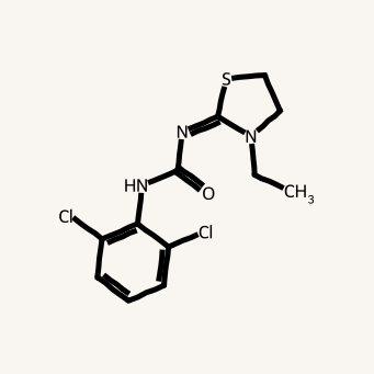 CCN1CCSC1=NC(=O)Nc1c(Cl)cccc1Cl